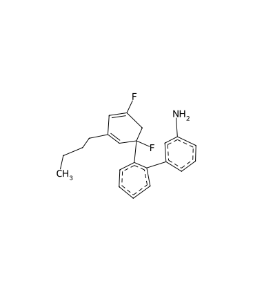 CCCCC1=CC(F)(c2ccccc2-c2cccc(N)c2)CC(F)=C1